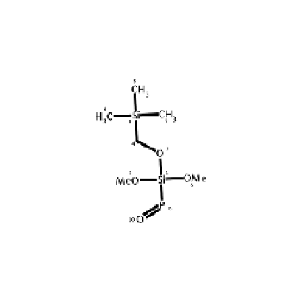 CO[Si](OC)(OC[Si](C)(C)C)P=O